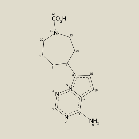 Nc1ncnn2c(C3CCCN(C(=O)O)CC3)ccc12